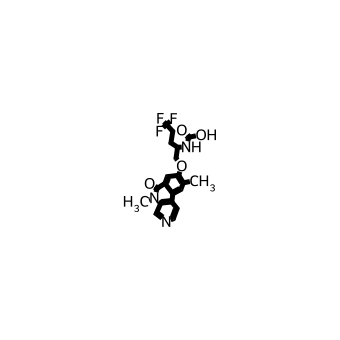 Cc1cc2c(cc1OCC(CCC(F)(F)F)NC(=O)O)c(=O)n(C)c1cnccc21